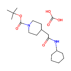 CC(C)(C)OC(=O)N1CCC(CC(=O)NC2CCCCC2)CC1.O=C(O)O